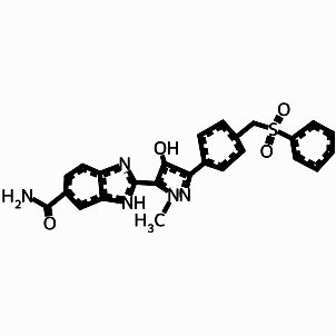 Cn1nc(-c2ccc(CS(=O)(=O)c3ccccc3)cc2)c(O)c1-c1nc2ccc(C(N)=O)cc2[nH]1